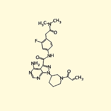 C=CC(=O)N1CCCC(n2nc(C(=O)Nc3ccc(CC(=O)N(C)C)c(F)c3)c3c(N)ncnc32)C1